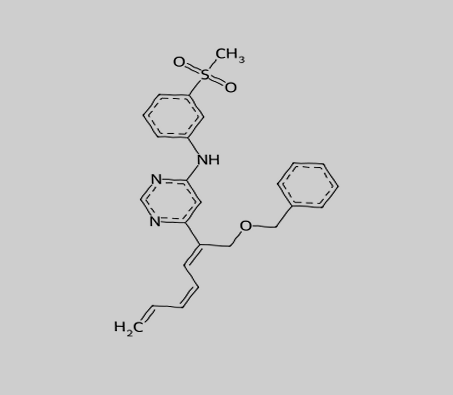 C=C/C=C\C=C(/COCc1ccccc1)c1cc(Nc2cccc(S(C)(=O)=O)c2)ncn1